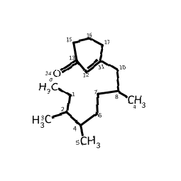 CCC(C)C(C)CCC(C)CC1=CC(=O)CCC1